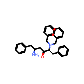 NC(CC(=O)[C@H](Cc1ccccc1)N(Cc1ccccc1)Cc1ccccc1)Cc1ccccc1